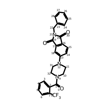 O=C(c1ccccc1C(F)(F)F)N1CCN(c2ccc3c(c2)C(=O)N(Cc2ccccc2)C3=O)CC1